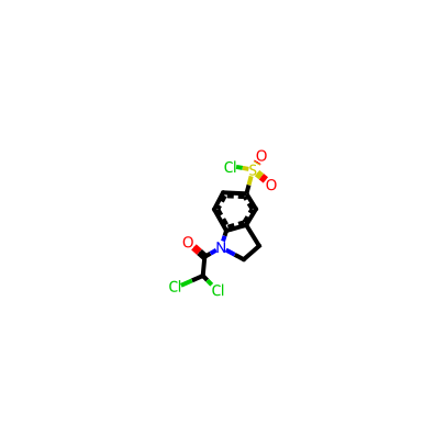 O=C(C(Cl)Cl)N1CCc2cc(S(=O)(=O)Cl)ccc21